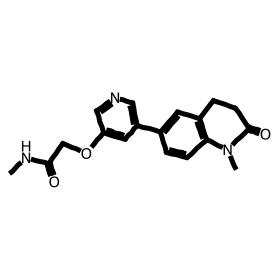 CNC(=O)COc1cncc(-c2ccc3c(c2)CCC(=O)N3C)c1